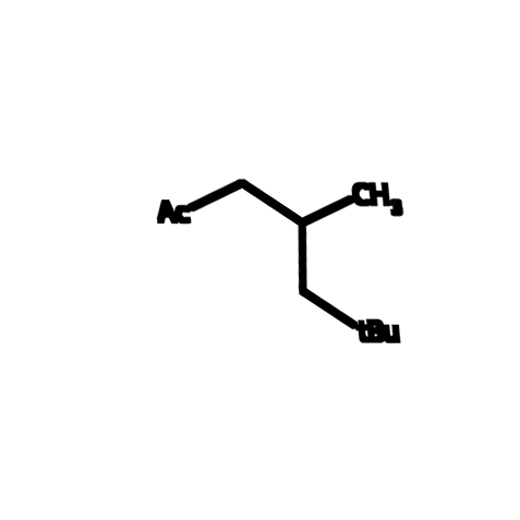 CC(=O)CC(C)CC(C)(C)C